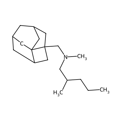 CCCC(C)CN(C)CC12CC3CC4CC(C1)C2(C4)C3